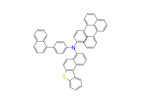 c1ccc(-c2cccc3cccc(-c4ccc(N(c5ccc(-c6cccc7ccccc67)cc5)c5cccc6c5ccc5sc7ccccc7c56)cc4)c23)cc1